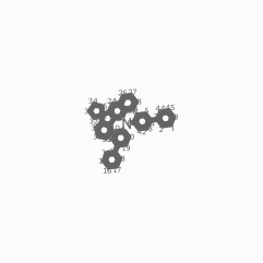 c1ccc(-c2ccc(N(c3ccc(-c4ccccc4)cc3)c3c4c(cc5ccccc35)C3(CCCC3)c3ccccc3-4)cc2)cc1